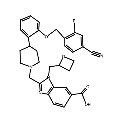 N#Cc1ccc(COc2ccccc2C2CCN(Cc3nc4ccc(C(=O)O)cc4n3CC3CCO3)CC2)c(F)c1